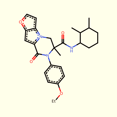 CCOc1ccc(N2C(=O)c3cc4occc4n3CC2(C)C(=O)NC2CCCC(C)C2C)cc1